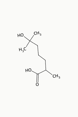 CC(CCCC(C)(C)O)C(=O)O